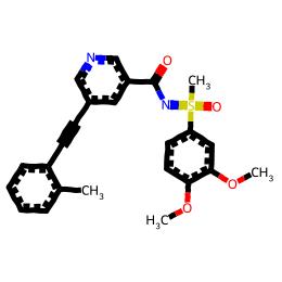 COc1ccc(S(C)(=O)=NC(=O)c2cncc(C#Cc3ccccc3C)c2)cc1OC